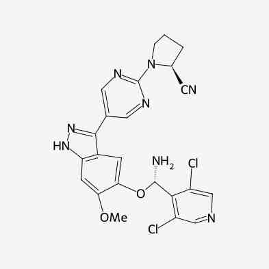 COc1cc2[nH]nc(-c3cnc(N4CCC[C@H]4C#N)nc3)c2cc1O[C@H](N)c1c(Cl)cncc1Cl